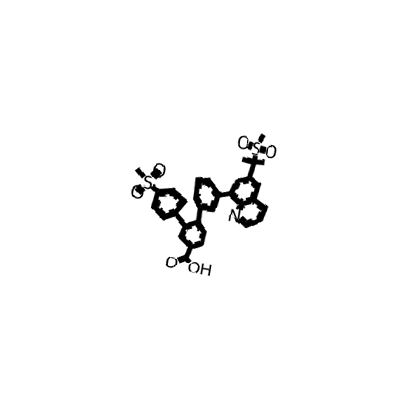 CC(C)(c1cc(-c2cccc(-c3ccc(C(=O)O)cc3-c3ccc(S(C)(=O)=O)cc3)c2)c2ncccc2c1)S(C)(=O)=O